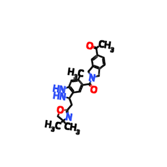 CC(=O)c1ccc2c(c1)CN(C(=O)c1cc3c(cc1C)NNC3CC1=NC(C)(C)CO1)C2